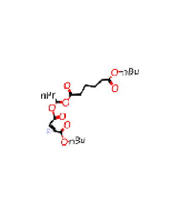 CCCCOC(=O)/C=C\C(=O)OC(CCC)OC(=O)CCCCC(=O)OCCCC